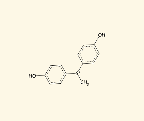 C[S+](c1ccc(O)cc1)c1ccc(O)cc1